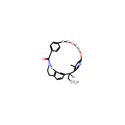 Cc1cc2ncc1[C@H](CC(=O)O)c1ccc3c(c1)CN(CC3)C(=O)c1ccc(cc1)CCOCCO2